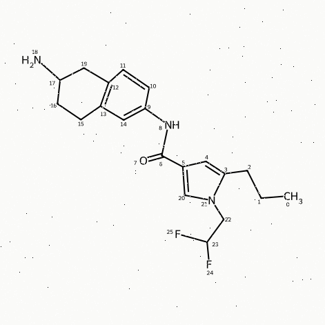 CCCc1cc(C(=O)Nc2ccc3c(c2)CCC(N)C3)cn1CC(F)F